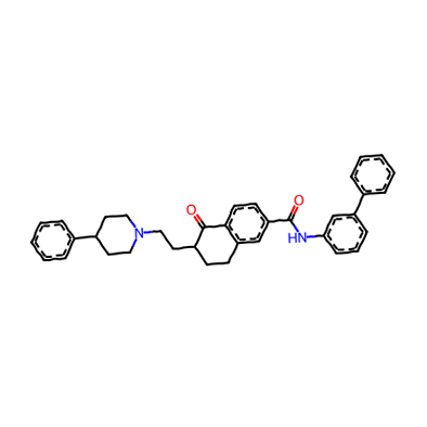 O=C(Nc1cccc(-c2ccccc2)c1)c1ccc2c(c1)CCC(CCN1CCC(c3ccccc3)CC1)C2=O